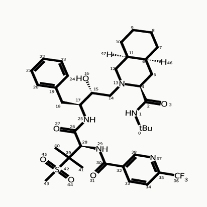 CC(C)(C)NC(=O)[C@@H]1C[C@@H]2CCCC[C@@H]2CN1C[C@@H](O)[C@H](Cc1ccccc1)NC(=O)[C@@H](NC(=O)c1ccc(C(F)(F)F)nc1)C(C)(C)S(C)(=O)=O